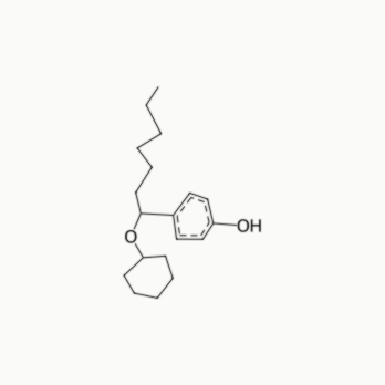 CCCCCCC(OC1CCCCC1)c1ccc(O)cc1